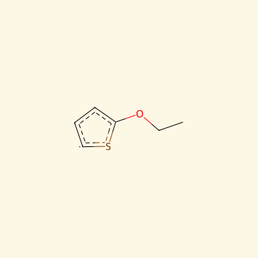 CCOc1cc[c]s1